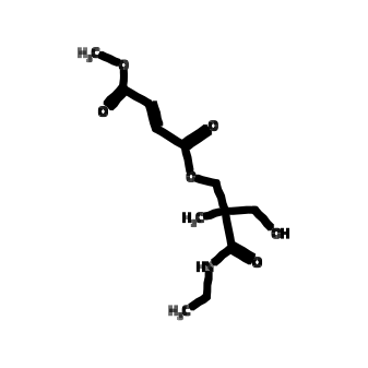 CCNC(=O)C(C)(CO)COC(=O)/C=C/C(=O)OC